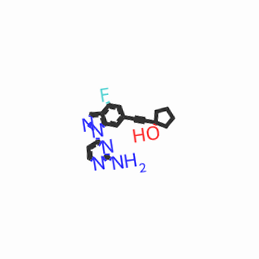 Nc1nccc(-n2ncc3c(F)cc(C#CC4(O)CCCC4)cc32)n1